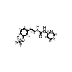 O=C(N/C=C/c1cccc(OC(F)(F)F)c1)Nc1ccncn1